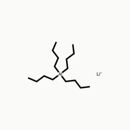 CCC[CH2][Al-]([CH2]CCC)([CH2]CCC)[CH2]CCC.[Li+]